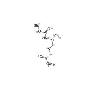 COC(=O)CSC[C@@H](C)NC(=O)OC(C)(C)C